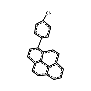 N#Cc1ccc(-c2ccc3ccc4cccc5ccc2c3c45)cc1